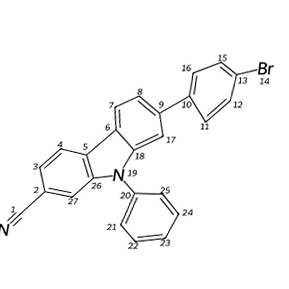 N#Cc1ccc2c3ccc(-c4ccc(Br)cc4)cc3n(-c3ccccc3)c2c1